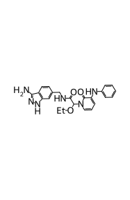 CCOC(C(=O)NCc1ccc2c(N)n[nH]c2c1)n1cccc(Nc2ccccc2)c1=O